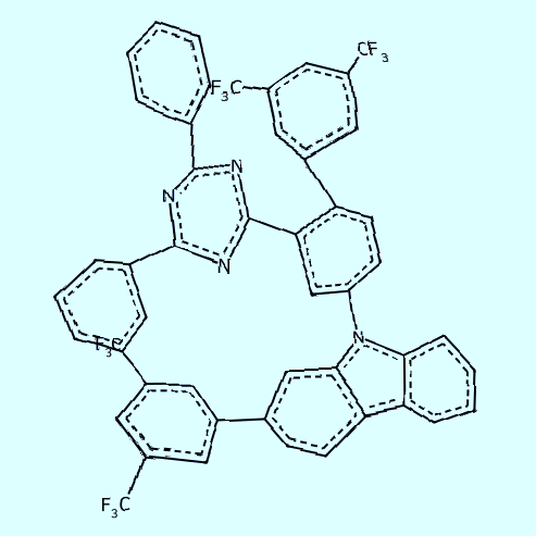 FC(F)(F)c1cc(-c2ccc3c4ccccc4n(-c4ccc(-c5cc(C(F)(F)F)cc(C(F)(F)F)c5)c(-c5nc(-c6ccccc6)nc(-c6ccccc6)n5)c4)c3c2)cc(C(F)(F)F)c1